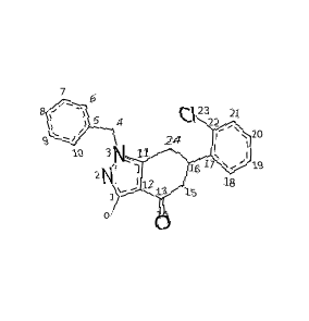 Cc1nn(Cc2ccccc2)c2c1C(=O)CC(c1ccccc1Cl)C2